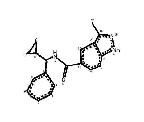 O=C(N[C@@H](c1ccccc1)C1CC1)c1ccc2[nH]nc(I)c2c1